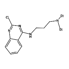 CCN(CC)CCCNc1nc(Cl)nc2ccccc12